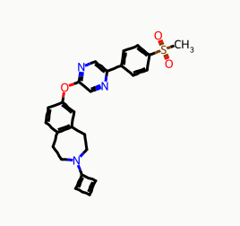 CS(=O)(=O)c1ccc(-c2cnc(Oc3ccc4c(c3)CCN(C3=CC=C3)CC4)cn2)cc1